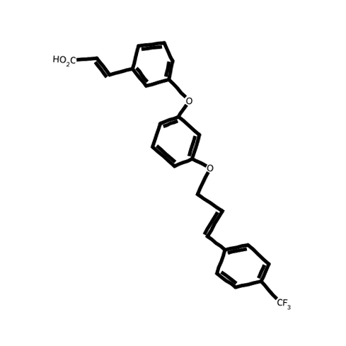 O=C(O)/C=C/c1cccc(Oc2cccc(OC/C=C/c3ccc(C(F)(F)F)cc3)c2)c1